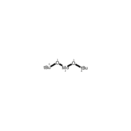 CC(C)(C)[O][Mo][O]C(C)(C)C